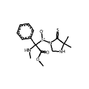 CNC(C(=O)OC)(c1ccccc1)[S+]([O-])N1CNC(C)(C)C1=S